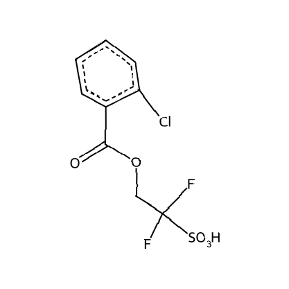 O=C(OCC(F)(F)S(=O)(=O)O)c1ccccc1Cl